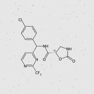 O=C1NC[C@@H](C(=O)NC(c2ccc(Cl)cc2)c2ccnc(C(F)(F)F)n2)O1